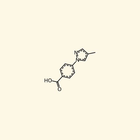 Cc1cnn(-c2ccc(C(=O)O)cc2)c1